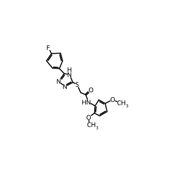 COc1ccc(OC)c(NC(=O)CSc2nnc(-c3ccc(F)cc3)[nH]2)c1